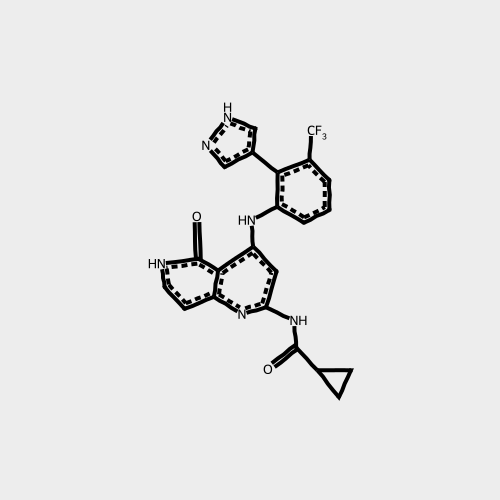 O=C(Nc1cc(Nc2cccc(C(F)(F)F)c2-c2cn[nH]c2)c2c(=O)[nH]ccc2n1)C1CC1